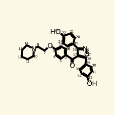 O=C(c1ccc(OCCN2CCCCC2)cc1)c1c(-c2ccc(O)cc2)noc1-c1ccc(O)cc1